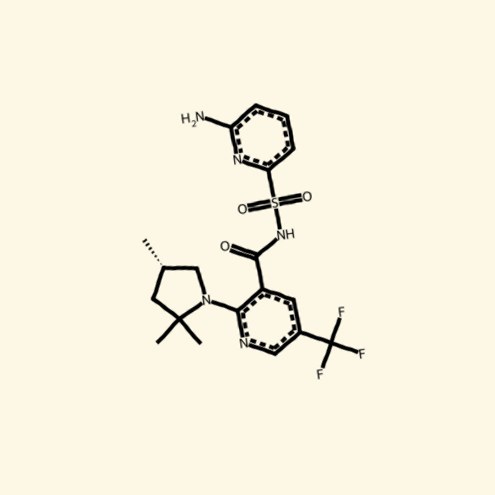 C[C@@H]1CN(c2ncc(C(F)(F)F)cc2C(=O)NS(=O)(=O)c2cccc(N)n2)C(C)(C)C1